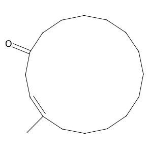 CC1=CCC(=O)CCCCCCCCCCCC1